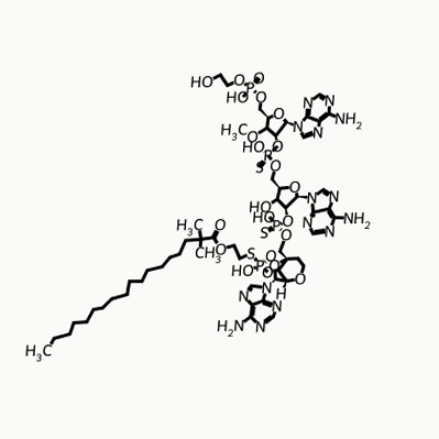 CCCCCCCCCCCCCCCCC(C)(C)C(=O)OCCSP(=O)(O)OC1[C@@H]2OCC[C@@]1(COP(O)(=S)O[C@H]1C(O)[C@@H](COP(O)(=S)O[C@H]3C(OC)[C@@H](COP(=O)(O)OCCO)O[C@H]3n3cnc4c(N)ncnc43)O[C@H]1n1cnc3c(N)ncnc31)O[C@H]2n1cnc2c(N)ncnc21